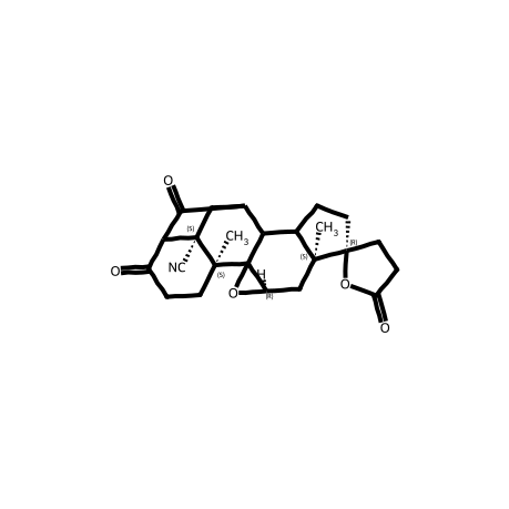 C[C@]12C[C@H]3OC34C(C3C[C@]5(C#N)C(C(=O)CC[C@]45C)C3=O)C1CC[C@@]21CCC(=O)O1